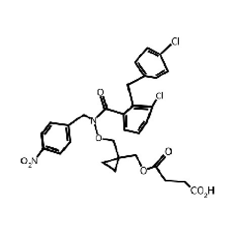 O=C(O)CCC(=O)OCC1(CON(Cc2ccc([N+](=O)[O-])cc2)C(=O)c2cccc(Cl)c2Cc2ccc(Cl)cc2)CC1